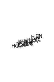 CCCC1(C(=O)NCc2cccc(C#N)c2)CC[C@]2(C)C(CCC3C4(C)CCC(O)C(C)(C)C4CCC32C)C1C